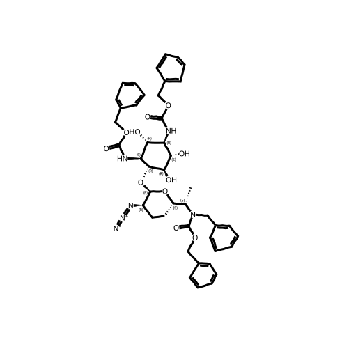 C[C@@H]([C@@H]1CC[C@@H](N=[N+]=[N-])[C@@H](O[C@H]2[C@H](O)[C@@H](O)[C@H](NC(=O)OCc3ccccc3)[C@@H](O)[C@@H]2NC(=O)OCc2ccccc2)O1)N(Cc1ccccc1)C(=O)OCc1ccccc1